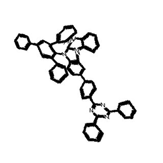 c1ccc(-c2cc(-c3ccccc3)c(N3c4ccc(-c5ccc(-c6nc(-c7ccccc7)nc(-c7ccccc7)n6)cc5)cc4N4c5ccccc5NC43)c(-c3ccccc3)c2)cc1